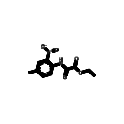 CCOC(=O)C(=O)Nc1ccc(C)cc1[N+](=O)[O-]